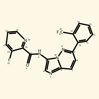 O=C(Nc1cnc2ccc(-c3ccccc3C(F)(F)F)nn12)c1ncccc1F